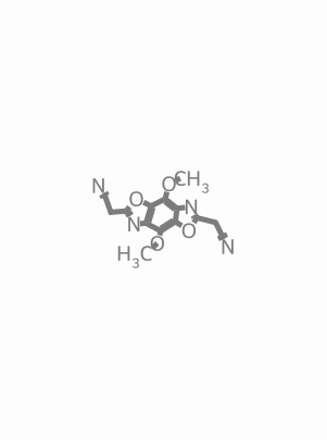 COc1c2nc(CC#N)oc2c(OC)c2nc(CC#N)oc12